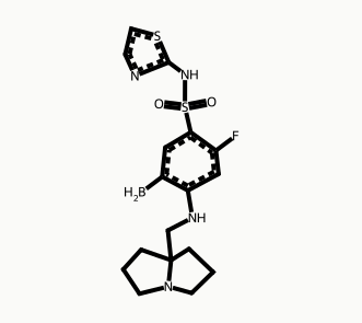 Bc1cc(S(=O)(=O)Nc2nccs2)c(F)cc1NCC12CCCN1CCC2